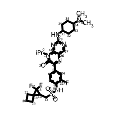 CC(C)n1c(=O)c(-c2ccc(NS(=O)(=O)CC3C(F)(F)C34CCC4)c(F)c2)nc2cnc(NC3CCC(N(C)C)CC3)nc21